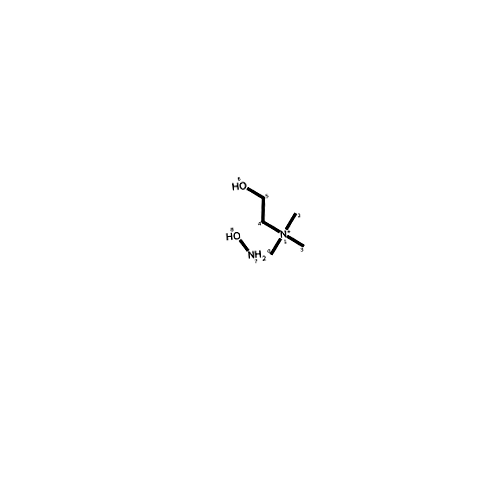 C[N+](C)(C)CCO.NO